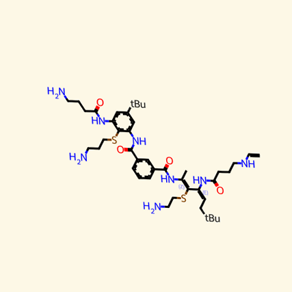 C=CNCCCC(=O)NC(=C/CC(C)(C)C)/C(SCCN)=C(\C)NC(=O)c1cccc(C(=O)Nc2cc(C(C)(C)C)cc(NC(=O)CCCN)c2SCCCN)c1